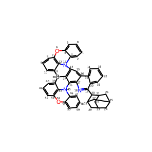 c1ccc2c(c1)Oc1cccc3c1N2c1cc2c(nc(C4C5CC6CC(C5)CC4C6)c4ccccc42)c2c1B3c1cccc3c1N2c1ccccc1O3